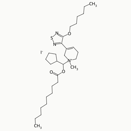 CCCCCCCCCC(=O)OC(C1CCCC1)[N+]1(C)CCC=C(c2nsnc2OCCCCCC)C1.[I-]